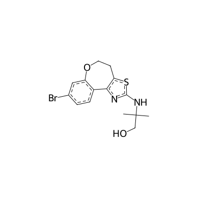 CC(C)(CO)Nc1nc2c(s1)CCOc1cc(Br)ccc1-2